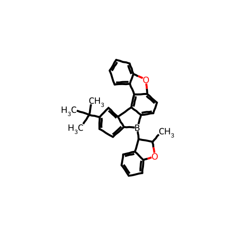 CC1Oc2ccccc2C1B1c2ccc(C(C)(C)C)cc2-c2c1ccc1oc3ccccc3c21